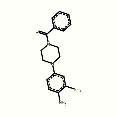 Nc1ccc(N2CCN(C(=O)c3ccccc3)CC2)cc1N